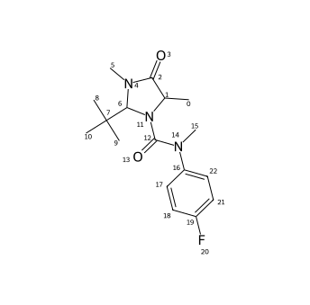 CC1C(=O)N(C)C(C(C)(C)C)N1C(=O)N(C)c1ccc(F)cc1